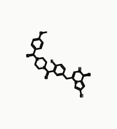 COc1ccc(C(=O)N2CCN(C(=O)c3cc(Cc4c[nH]c(=O)c5cc(Cl)cn45)ccc3F)CC2)cc1